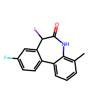 Cc1cccc2c1NC(=O)C(I)c1cc(F)ccc1-2